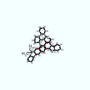 CC1(C)c2ccccc2-c2ccc(N(c3ccc4c(c3)sc3ccccc34)c3cccc(-c4ccccc4)c3-c3ccccc3-c3ccccc3)cc21